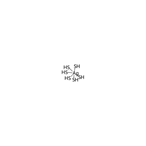 [SH][Ag]([SH])([SH])([SH])([SH])[SH]